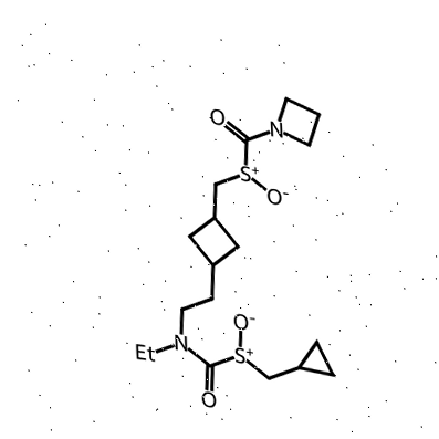 CCN(CCC1CC(C[S+]([O-])C(=O)N2CCC2)C1)C(=O)[S+]([O-])CC1CC1